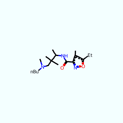 CCCCN(C)CC(C)(C)C(C)NC(=O)c1noc(CC)c1C